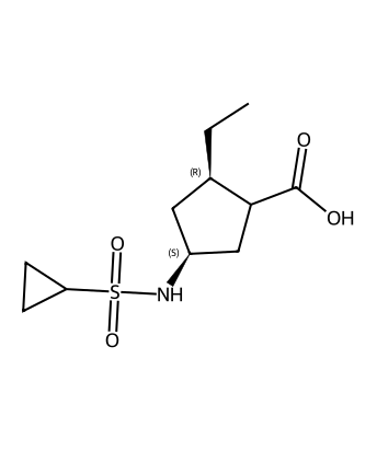 CC[C@@H]1C[C@H](NS(=O)(=O)C2CC2)CC1C(=O)O